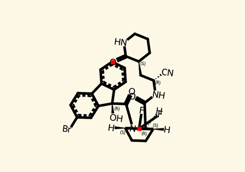 N#C[C@@H](C[C@@H]1CCCNC1=O)NC(=O)[C@H]1[C@@H]2CC[C@@H](CC2(F)F)N1C(=O)[C@@]1(O)c2ccccc2-c2ccc(Br)cc21